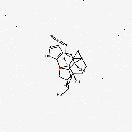 C/C=C1\CC[C@H]2[C@@]3(CN=[N+]=[N-])C[C@]3([C@@]3(C)Cc4cn[nH]c4C[C@@H]3CO)CC[C@]12C